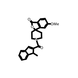 COc1ccc2c(c1)C1(CCN(C(=O)C3=Cc4ccccc4C3C)CC1)OC2=O